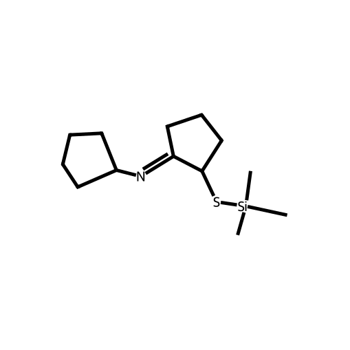 C[Si](C)(C)SC1CCCC1=NC1CCCC1